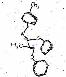 CC(=C\Oc1ccccc1)/C(=N/c1ccc(C)cc1)Sc1ccccc1